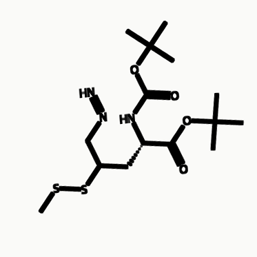 CSSC(CN=N)C[C@H](NC(=O)OC(C)(C)C)C(=O)OC(C)(C)C